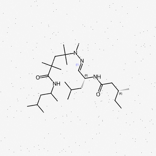 CC[C@@H](C)CC(=O)N[C@@H](/C=N/N(C)C(C)(C)CC(C)(C)C(=O)NC(C)CC(C)C)CC(C)C